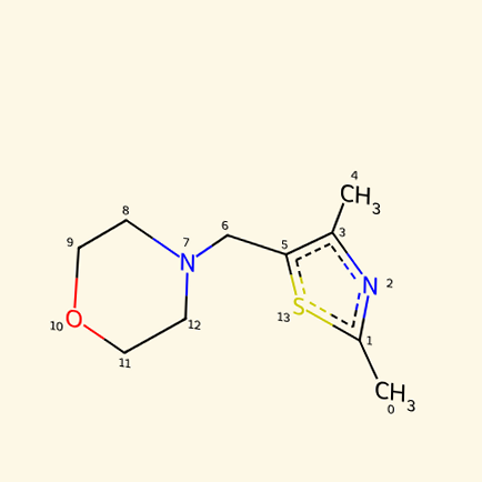 Cc1nc(C)c(CN2CCOCC2)s1